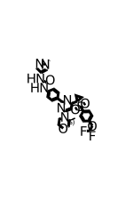 C[C@H]1COCCN1c1cc(C2(S(=O)(=O)c3ccc(OC(F)F)cc3)CC2)nc(-c2ccc(NC(=O)Nc3cnn(C)c3)cc2)n1